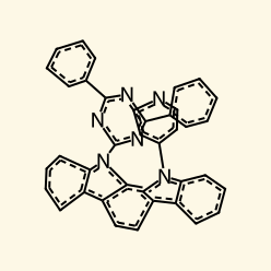 c1ccc(-c2nc(-c3ccccc3)nc(-n3c4ccccc4c4ccc5c6ccccc6n(-c6ccncc6)c5c43)n2)cc1